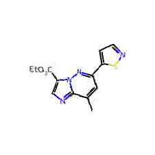 CCOC(=O)c1cnc2c(C)cc(-c3ccns3)nn12